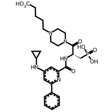 O=C(O)CCCCN1CCN(C(=O)[C@H](CP(=O)(O)O)NC(=O)c2cc(NC3CC3)cc(-c3ccccc3)n2)CC1